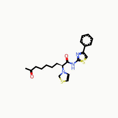 CC(=O)CCCCC[C@@H](C(=O)Nc1nc(-c2ccccc2)cs1)N1C=CSC1